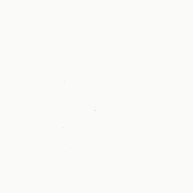 Cc1ccc(/N=C2/C(=C/Sc3ccccc3)CCc3ccccc32)cc1